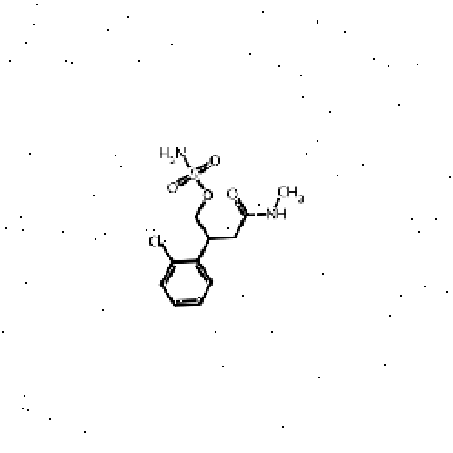 CNC(=O)CC(COS(N)(=O)=O)c1ccccc1Cl